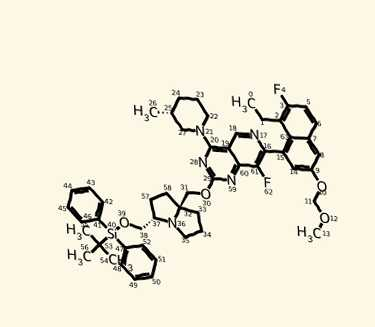 CCc1c(F)ccc2cc(OCOC)cc(-c3ncc4c(N5CCC[C@@H](C)C5)nc(OC[C@@]56CCCN5[C@H](CO[Si](c5ccccc5)(c5ccccc5)C(C)(C)C)CC6)nc4c3F)c12